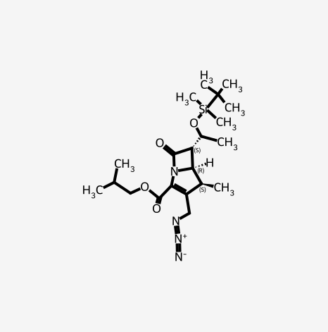 CC(C)COC(=O)C1=C(CN=[N+]=[N-])[C@H](C)[C@@H]2[C@@H](C(C)O[Si](C)(C)C(C)(C)C)C(=O)N12